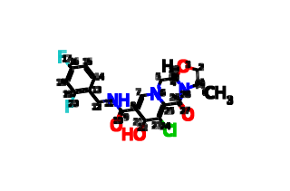 C[C@H]1CO[C@@H]2CN3C=C(C(=O)NCc4ccc(F)cc4F)C(O)C(Cl)=C3C(=O)N12